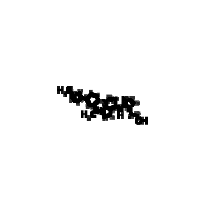 CN(c1cccc(-c2cnn(C)c2)c1)n1ccc2c(Nc3nccn3CCO)ncnc21